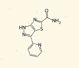 NC(=O)c1nc2[nH]nc(-c3ccccn3)c2s1